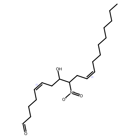 CCCCCCCC/C=C\CC(C(O)C/C=C\CCC[C]=O)[N+](=O)[O-]